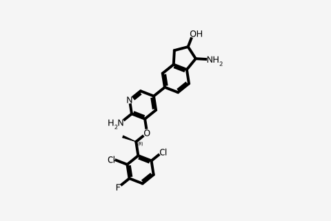 C[C@@H](Oc1cc(-c2ccc3c(c2)CC(O)C3N)cnc1N)c1c(Cl)ccc(F)c1Cl